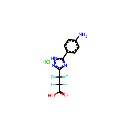 Cl.Nc1ccc(-c2nc(C(F)(F)C(F)(F)C(=O)O)n[nH]2)cc1